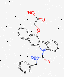 O=C(O)COc1c2ccccc2cc2c1c1ccccc1n2C(=O)NCc1ccccc1